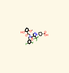 COc1cccc(O)c1C(=O)CN(Cc1cc(F)cc(F)c1)C(=O)c1cnn([C@H]2CC[C@H](C(=O)O)CC2)c1C(F)(F)F